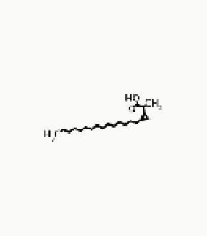 CCCCCCCCCCCCCCCC1CC1C(C)C(=O)O